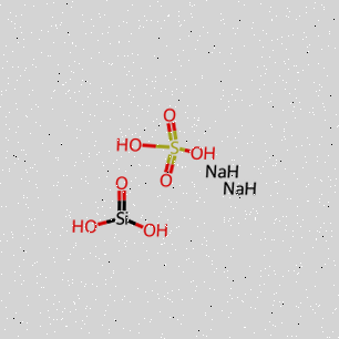 O=S(=O)(O)O.O=[Si](O)O.[NaH].[NaH]